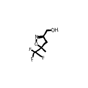 CC1(C(F)(F)F)CC(CO)=NO1